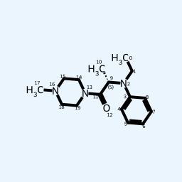 CCN(c1ccccc1)[C@@H](C)C(=O)N1CCN(C)CC1